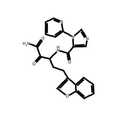 NC(=O)C(=O)C(CCc1coc2ccccc12)NC(=O)c1cncn1-c1ccccn1